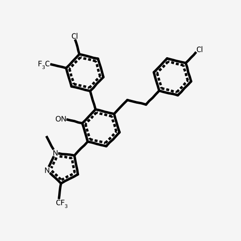 Cn1nc(C(F)(F)F)cc1-c1ccc(CCc2ccc(Cl)cc2)c(-c2ccc(Cl)c(C(F)(F)F)c2)c1N=O